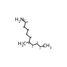 CCCCC(C)CCCCCN